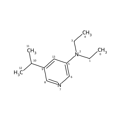 CCN(CC)c1cncc(C(C)C)c1